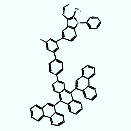 C/C=C\c1c(N)n(-c2ccccc2)c2ccc(-c3cc(C)cc(-c4ccc(-c5ccc6c(-c7cc8ccccc8c8ccccc78)c7ccccc7c(-c7cc8ccccc8c8ccccc78)c6c5)cc4)c3)cc12